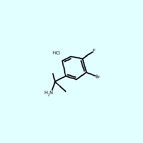 CC(C)(N)c1ccc(F)c(Br)c1.Cl